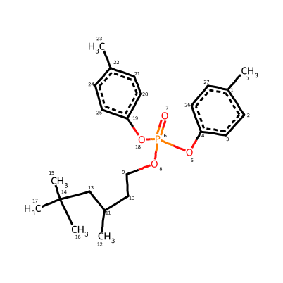 Cc1ccc(OP(=O)(OCCC(C)CC(C)(C)C)Oc2ccc(C)cc2)cc1